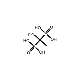 [CH2]CCC(C)(P(=O)(O)O)P(=O)(O)O